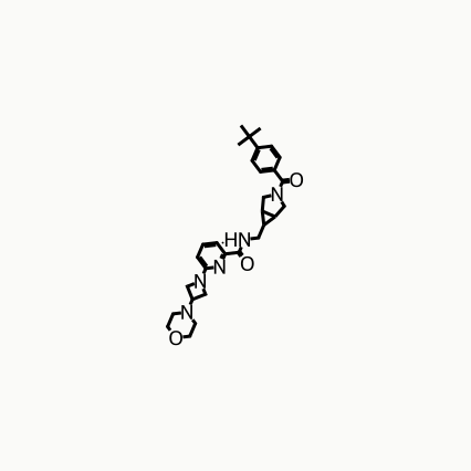 CC(C)(C)c1ccc(C(=O)N2CC3C(CNC(=O)c4[c]ccc(N5CC(N6CCOCC6)C5)n4)C3C2)cc1